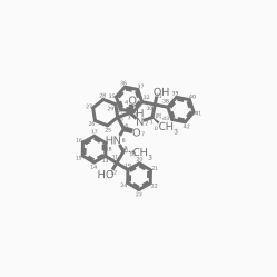 C[C@@H](NC(=O)C1(C(=O)N[C@H](C)C(O)(c2ccccc2)c2ccccc2)CCCCC1)C(O)(c1ccccc1)c1ccccc1